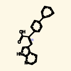 O=C(O)/C(=C\c1c[nH]c2ncccc12)c1ccc(-c2ccccc2)cc1